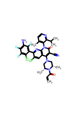 C=CC(=O)N1[C@H](C)CN(c2c(C#N)c(=O)n(-c3c(C)ccnc3C(C)C)c3nc(-c4c(F)c(N)c(F)c(F)c4Cl)c(Cl)cc23)C[C@@H]1C